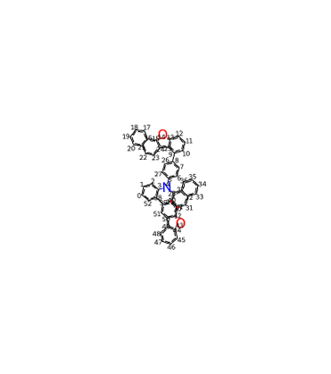 c1ccc(N(c2ccc(-c3cccc4oc5c6ccccc6ccc5c34)cc2)c2cccc3ccccc23)c(-c2ccc3oc4ccccc4c3c2)c1